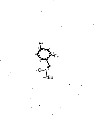 CC(C)(C)[N+]([O-])=Cc1ccc(F)cc1F